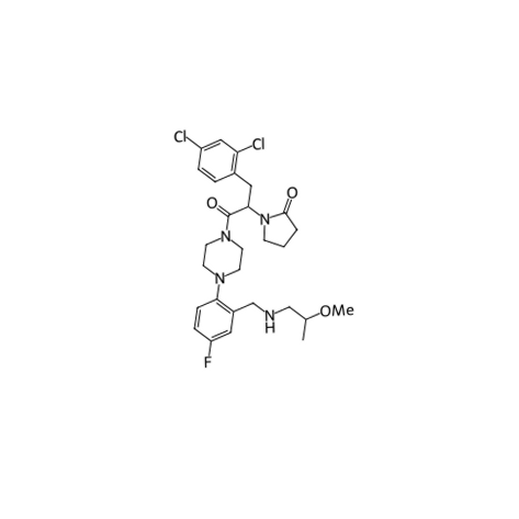 COC(C)CNCc1cc(F)ccc1N1CCN(C(=O)C(Cc2ccc(Cl)cc2Cl)N2CCCC2=O)CC1